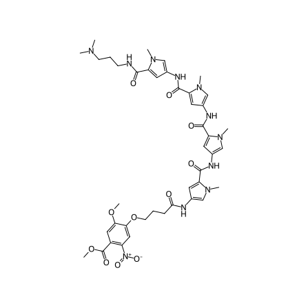 COC(=O)c1cc(OC)c(OCCCC(=O)Nc2cc(C(=O)Nc3cc(C(=O)Nc4cc(C(=O)Nc5cc(C(=O)NCCCN(C)C)n(C)c5)n(C)c4)n(C)c3)n(C)c2)cc1[N+](=O)[O-]